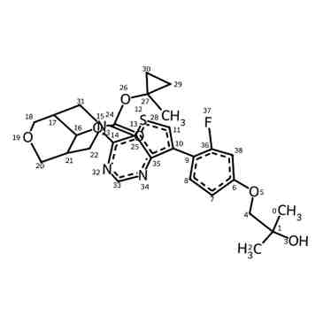 CC(C)(O)COc1ccc(-c2csc3c(OC4C5COCC4CN(C(=O)OC4(C)CC4)C5)ncnc23)c(F)c1